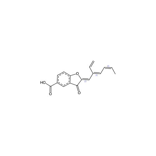 C=CC(/C=C1\Oc2ccc(C(=O)O)cc2C1=O)=C\C=C/C